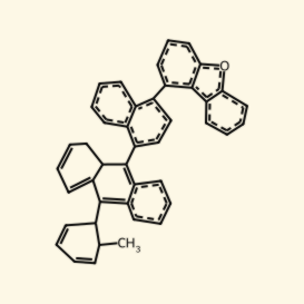 CC1C=CC=CC1C1=c2ccccc2=C(c2ccc(-c3cccc4oc5ccccc5c34)c3ccccc23)C2CC=CC=C12